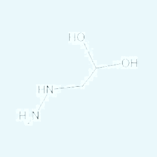 NNCC(O)O